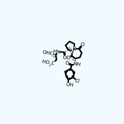 O=C[C@H](CC(=O)O)NC(=O)[C@@H]1CCCN2C(=O)CC[C@H](NC(=O)c3ccc(O)c(Cl)c3)C(=O)N12